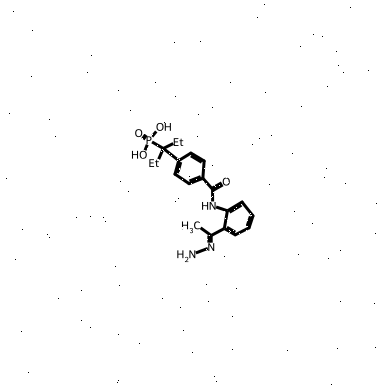 CCC(CC)(c1ccc(C(=O)Nc2ccccc2C(C)=NN)cc1)P(=O)(O)O